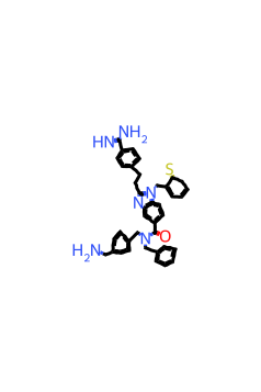 N=C(N)c1ccc(CCc2nc3cc(C(=O)N(Cc4ccccc4)Cc4ccc(CN)cc4)ccc3n2CC2=CC=CCC2=S)cc1